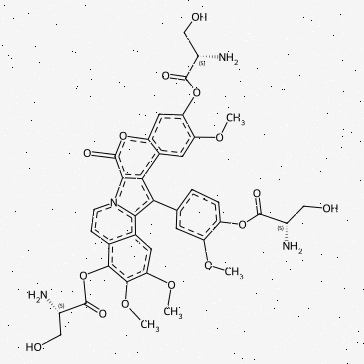 COc1cc(-c2c3c4cc(OC)c(OC(=O)[C@@H](N)CO)cc4oc(=O)c3n3ccc4c(OC(=O)[C@@H](N)CO)c(OC)c(OC)cc4c23)ccc1OC(=O)[C@@H](N)CO